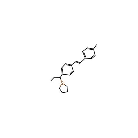 CCC(c1ccc(/C=C/c2ccc(C)cc2)cc1)[S+]1CCCC1